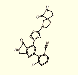 N#Cc1cccc(F)c1-c1cc(-n2ccc(N3CCC4(CCNC4=O)C3)n2)c2c(n1)CNC2=O